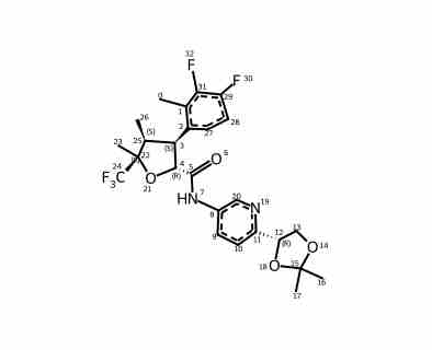 Cc1c([C@H]2[C@H](C(=O)Nc3ccc([C@@H]4COC(C)(C)O4)nc3)O[C@@](C)(C(F)(F)F)[C@H]2C)ccc(F)c1F